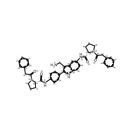 NCc1c(-c2ccc(NC(=O)[C@@H]3CCCN3C(=O)Cc3ccccc3)cc2)[nH]c2ccc(NC(=O)[C@@H]3CCCN3C(=O)Cc3ccccc3)cc12